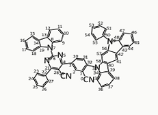 N#Cc1cc(-c2nc(-n3c4ccccc4c4ccccc43)nc(-c3ccccc3)c2C#N)ccc1-n1c2ccccc2c2cc3c4ccccc4n(-c4ccccc4)c3cc21